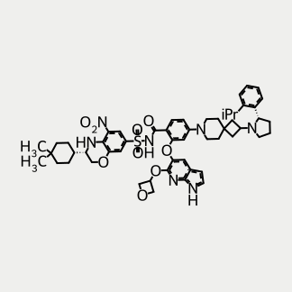 CC(C)c1ccccc1[C@@H]1CCCN1C1CC2(CCN(c3ccc(C(=O)NS(=O)(=O)c4cc5c(c([N+](=O)[O-])c4)N[C@@H](C4CCC(C)(C)CC4)CO5)c(Oc4cc5cc[nH]c5nc4OC4COC4)c3)CC2)C1